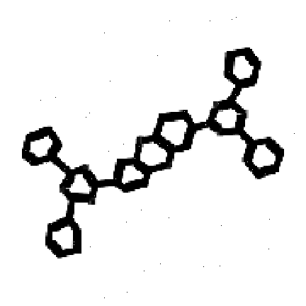 c1ccc(-c2nc(-c3ccccc3)nc(-c3ccc4c(c3)Oc3ccc(-c5nc(-c6ccccc6)nc(-c6ccccc6)n5)cc3O4)n2)cc1